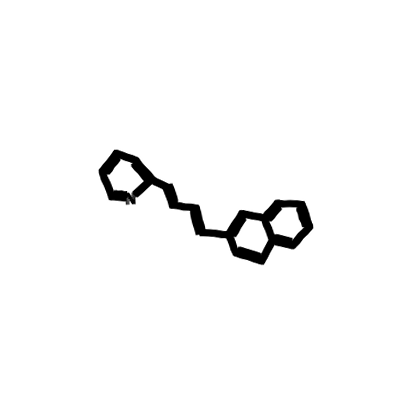 C(C=Cc1ccccn1)=Cc1ccc2ccccc2c1